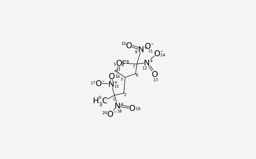 CC(CC([C]=O)CC(F)([N+](=O)[O-])[N+](=O)[O-])([N+](=O)[O-])[N+](=O)[O-]